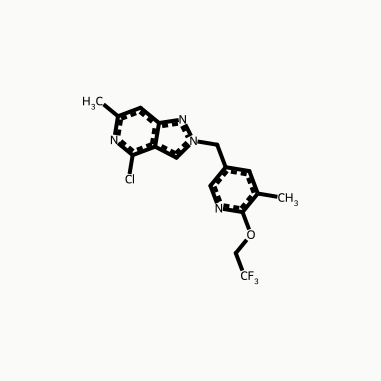 Cc1cc2nn(Cc3cnc(OCC(F)(F)F)c(C)c3)cc2c(Cl)n1